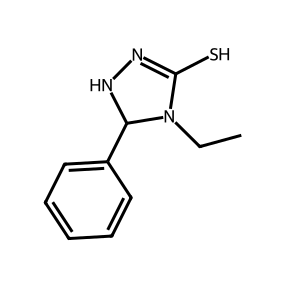 CCN1C(S)=NNC1c1ccccc1